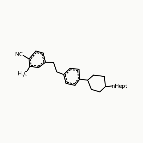 CCCCCCCC1CCC(c2ccc(CCc3ccc(C#N)c(C)c3)cc2)CC1